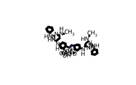 CCNC1=NN(Nc2ccccc2)NC(Nc2ccc(/C=C/c3ccc(NC4=CC(NCC)=NN(Nc5ccccc5)N4)cc3S(=O)(=O)O)c(S(=O)(=O)O)c2)=C1